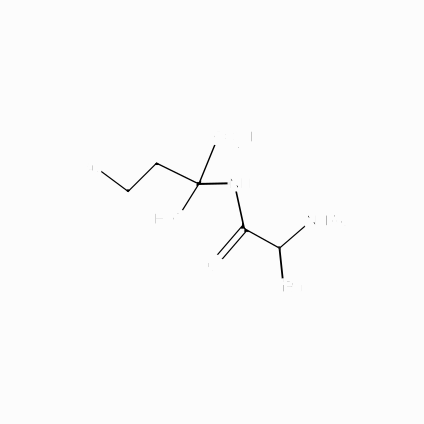 CCC(C)C(NC(C)=O)C(=O)NC(C)(CCC(C)(C)C)C(=O)O